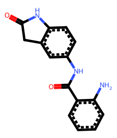 Nc1ccccc1C(=O)Nc1ccc2c(c1)CC(=O)N2